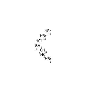 B.Br.Br.Br.C.Cl.Cl